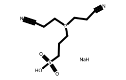 N#CCCP(CCC#N)CCCS(=O)(=O)O.[NaH]